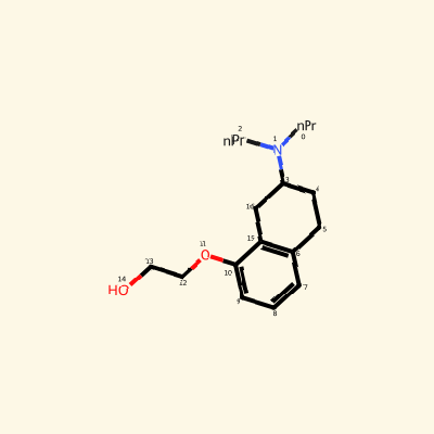 CCCN(CCC)C1CCc2cccc(OCCO)c2C1